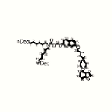 CCCCCCCCCCCCCCCCN(CCCCCCCCCCCCCCCC)C(=O)OCOc1ccc2ccc(OCCCCN3CCN(c4cccc5sccc45)CC3)cc2n1